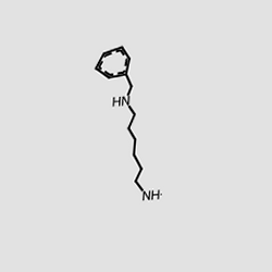 [NH]CCCCCCNCc1ccccc1